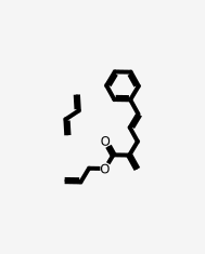 C=CC=C.C=CCOC(=O)C(=C)CC=Cc1ccccc1